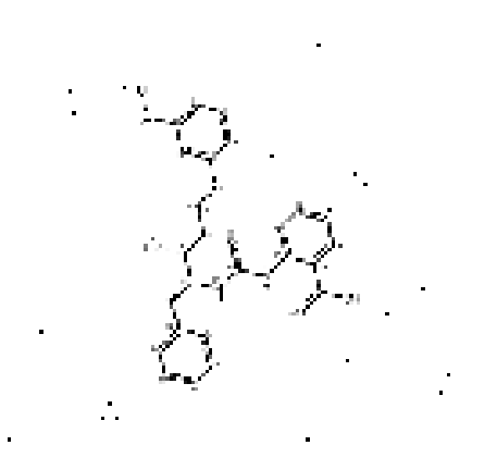 COc1cccc(CNC[C@@H](O)[C@H](Cc2ccccc2)NC(=O)Nc2ccccc2C(=O)O)c1